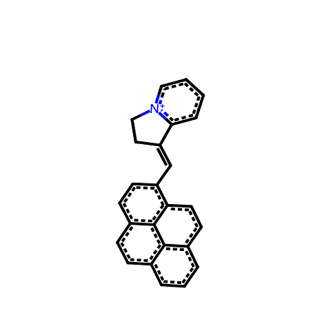 C(=C1CC[n+]2ccccc21)c1ccc2ccc3cccc4ccc1c2c34